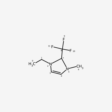 CCN1C=CN(C)C1C(F)(F)F